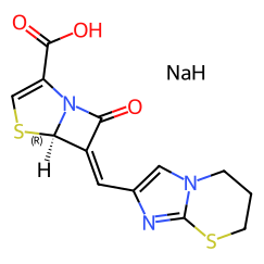 O=C(O)C1=CS[C@@H]2C(=Cc3cn4c(n3)SCCC4)C(=O)N12.[NaH]